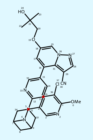 COc1ncc(CN2C3CC2CN(c2ccc(-c4cc(OCC(C)(C)O)cn5ncc(C#N)c45)cn2)C3)cc1Cl